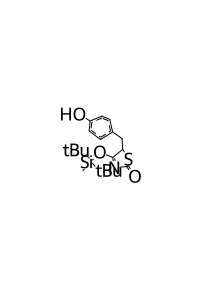 CC(C)(C)[Si](C)(OC1=NC(=O)SC1Cc1ccc(O)cc1)C(C)(C)C